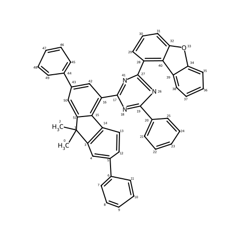 CC1(C)c2cc(-c3ccccc3)ccc2-c2c(-c3nc(-c4ccccc4)nc(-c4cccc5oc6ccccc6c45)n3)cc(-c3ccccc3)cc21